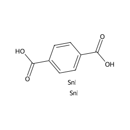 O=C(O)c1ccc(C(=O)O)cc1.[Sn].[Sn]